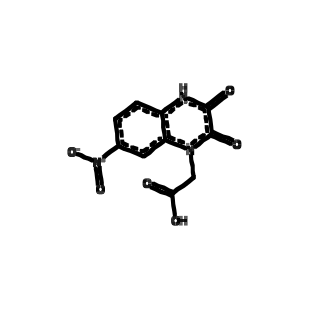 O=C(O)Cn1c(=O)c(=O)[nH]c2ccc([N+](=O)[O-])cc21